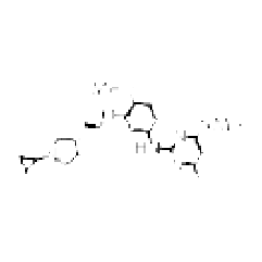 CNc1cc(C)nc(Nc2ccc(OC)c(OC=C[C@@H]3CCN(C4CC4)C3)c2)n1